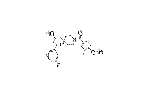 Cc1cc(C(=O)N2CCC3(CC2)CC(O)CC(c2cncc(F)c2)O3)ccc1OC(C)C